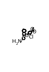 COC(=O)c1ccc(O[C@@H]2c3ccccc3C[C@H]2N2CC[C@H](CN)C2)c(Cl)c1